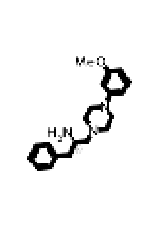 COc1cccc(N2CCN(C[C@H](N)Cc3ccccc3)CC2)c1